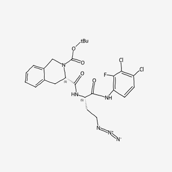 CC(C)(C)OC(=O)N1Cc2ccccc2C[C@H]1C(=O)N[C@@H](CCN=[N+]=[N-])C(=O)Nc1ccc(Cl)c(Cl)c1F